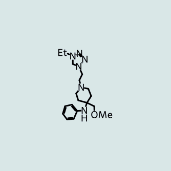 CCN1CN(CCN2CCC(COC)(Nc3ccccc3)CC2)N=N1